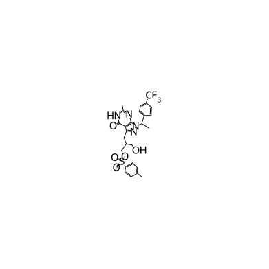 Cc1ccc(S(=O)(=O)OCC(CO)Cc2nn(C(C)c3ccc(C(F)(F)F)cc3)c3nc(C)[nH]c(=O)c23)cc1